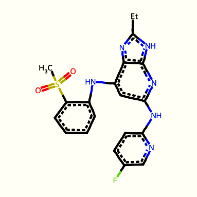 CCc1nc2c(Nc3ccccc3S(C)(=O)=O)cc(Nc3ccc(F)cn3)nc2[nH]1